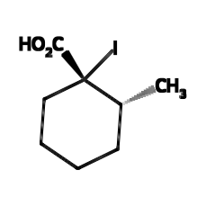 C[C@@H]1CCCC[C@@]1(I)C(=O)O